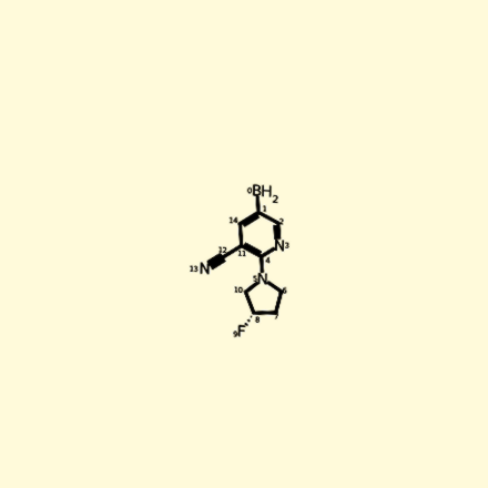 Bc1cnc(N2CC[C@H](F)C2)c(C#N)c1